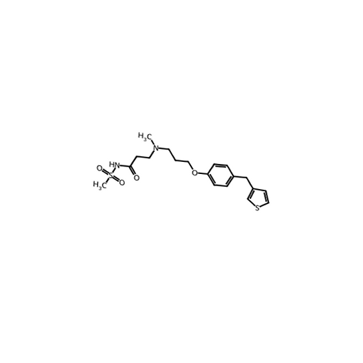 CN(CCCOc1ccc(Cc2ccsc2)cc1)CCC(=O)NS(C)(=O)=O